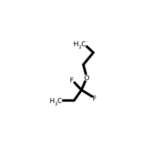 [CH2]CCOC(F)(F)CC